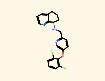 Fc1cccc(F)c1Oc1ccc(CN[C@@H]2CCCc3cccnc32)nc1